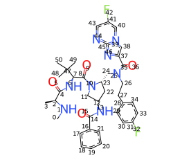 CN[C@@H](C)C(=O)N[C@H](C(=O)N1C[C@@H](NC(=O)c2ccccc2)C[C@H]1CN(CCc1ccc(F)cc1)C(=O)c1cn2cc(F)cnc2n1)C(C)(C)C